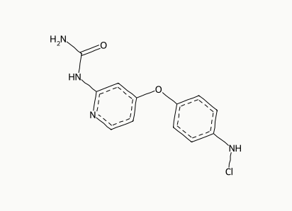 NC(=O)Nc1cc(Oc2ccc(NCl)cc2)ccn1